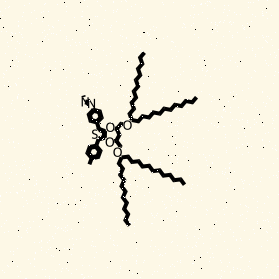 CCCCCCCCCCCCC(CCCCCCCCCCCC)OCC1CC(COC(CCCCCCCCCCCC)CCCCCCCCCCCC)Oc2c(-c3ccc(/N=N/C)cc3)sc(-c3ccc(C)cc3)c2O1